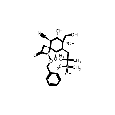 CC(C)(C[C@H]1[C@@H](O)[C@@]2(CC(=O)N2OCc2ccccc2)[C@@H](C#N)[C@H](O)[C@@]1(O)CO)[Si](C)(C)O